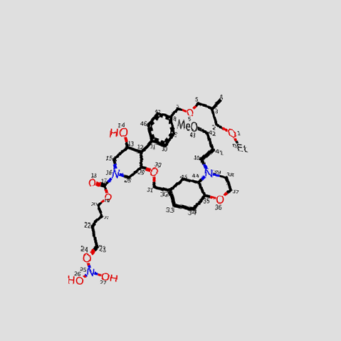 CCOCC(C)COCc1ccc(C2C(O)CN(C(=O)OCCCCON(O)O)CC2OCC2CCC3OCCN(CCCOC)C3C2)cc1